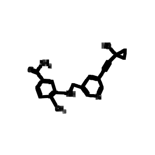 Cc1ccc(C(N)=O)cc1NCc1cncc(C#CC2(O)CC2)c1